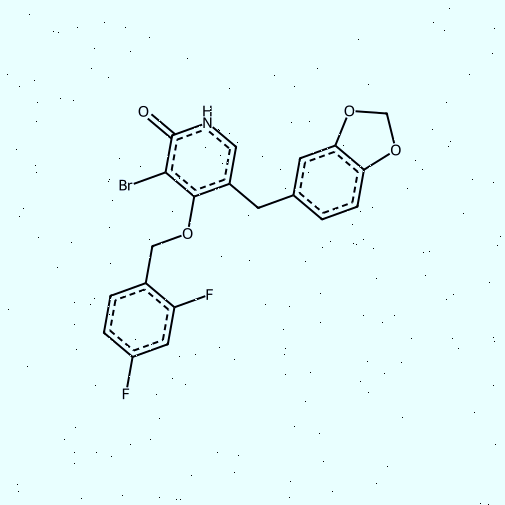 O=c1[nH]cc(Cc2ccc3c(c2)OCO3)c(OCc2ccc(F)cc2F)c1Br